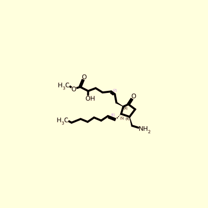 CCCCCC/C=C/[C@H]1[C@H](CN)CC(=O)[C@@H]1C/C=C\CCC(O)C(=O)OC